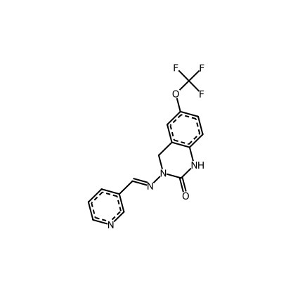 O=C1Nc2ccc(OC(F)(F)F)cc2CN1N=Cc1cccnc1